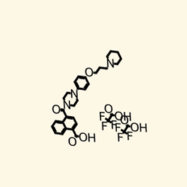 O=C(O)C(F)(F)F.O=C(O)C(F)(F)F.O=C(O)c1ccc(C(=O)N2CCN(c3ccc(OCCCN4CCCCC4)cc3)CC2)c2ccccc12